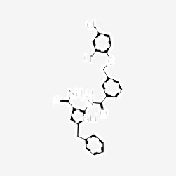 NC(=O)c1cc(Cc2ccccc2)[nH]c1NC(=O)c1cccc(COc2ccc(Cl)cc2Cl)c1